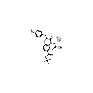 COc1ccc(CC2Sc3ccc(C(=O)OC(C)(C)C)cc3N(CC(=O)O)C2=O)cc1.NO